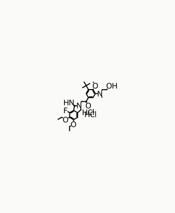 CCOc1cc2c(c(F)c1OCC)C(=N)N(CC(=O)c1cc(N(C)CCO)c(OC)c(C(C)(C)C)c1)C2.Cl.Cl